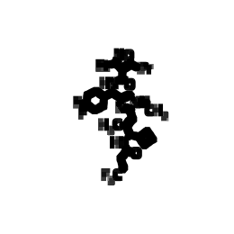 C=Nn1cc([C@@H](NC(=O)c2c(CC)noc2C(C)C)C2CCC(F)(F)CC2)nc1/C=C(\C)[C@H](NC(=O)CCC(F)(F)F)C1CCC1